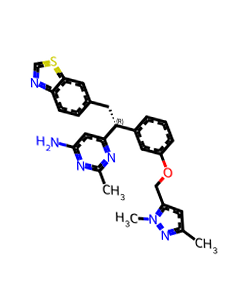 Cc1cc(COc2cccc([C@@H](Cc3ccc4ncsc4c3)c3cc(N)nc(C)n3)c2)n(C)n1